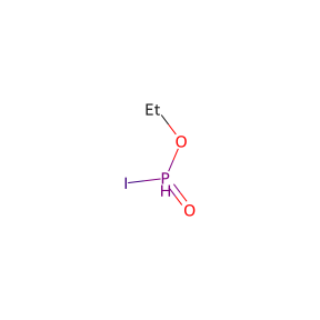 CCO[PH](=O)I